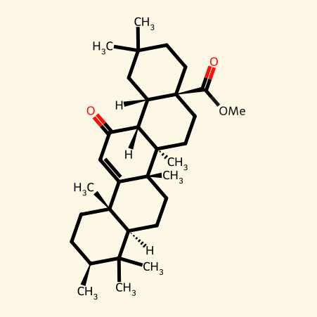 COC(=O)[C@]12CCC(C)(C)C[C@H]1[C@H]1C(=O)C=C3[C@@]4(C)CC[C@H](C)C(C)(C)[C@@H]4CC[C@@]3(C)[C@]1(C)CC2